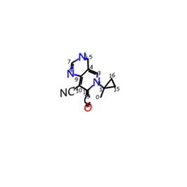 CC1(N2C=c3cncnc3=C(C#N)C2=C=O)CC1